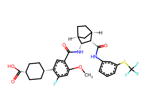 COc1cc(F)c([C@H]2CC[C@@H](C(=O)O)CC2)cc1C(=O)N[C@@H]1[C@H]2CC[C@H](C2)[C@@H]1C(=O)Nc1cccc(SC(F)(F)F)c1